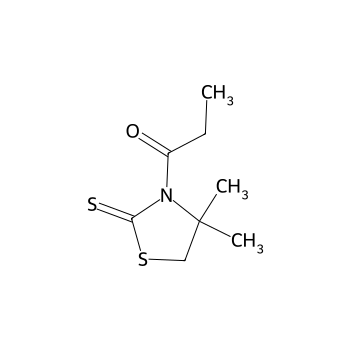 CCC(=O)N1C(=S)SCC1(C)C